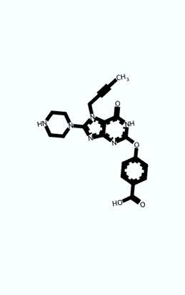 CC#CCn1c(N2CCNCC2)nc2nc(Oc3ccc(C(=O)O)cc3)[nH]c(=O)c21